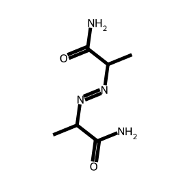 CC(N=NC(C)C(N)=O)C(N)=O